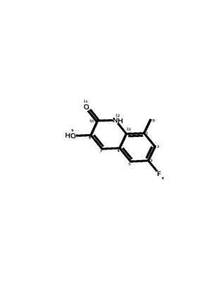 Cc1cc(F)cc2cc(O)c(=O)[nH]c12